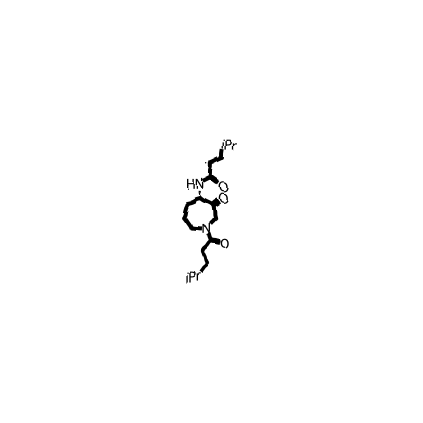 CC(C)C[CH]C(=O)N[C@H]1CCCN(C(=O)CCC(C)C)CC1=O